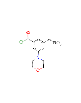 O=C(Cl)c1cc(C[N+](=O)[O-])cc(N2CCOCC2)c1